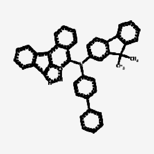 CC1(C)c2ccccc2-c2ccc(N(c3ccc(-c4ccccc4)cc3)c3c4ccccc4c4c5ccccc5c5nnn3c54)cc21